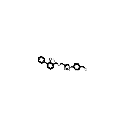 Cc1c(COCc2cn(-c3ccc(CCl)cc3)nn2)cccc1-c1ccccc1